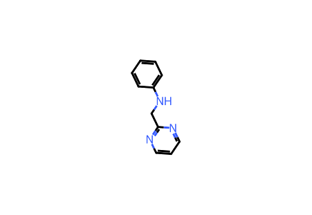 c1ccc(NCc2ncccn2)cc1